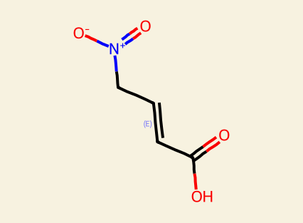 O=C(O)/C=C/C[N+](=O)[O-]